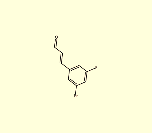 O=C/C=C/c1cc(F)cc(Br)c1